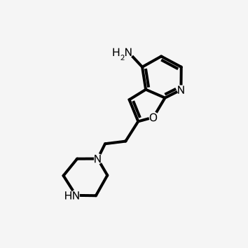 Nc1ccnc2oc(CCN3CCNCC3)cc12